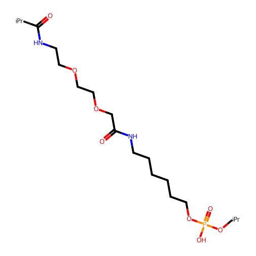 CC(C)OP(=O)(O)OCCCCCCNC(=O)COCCOCCNC(=O)C(C)C